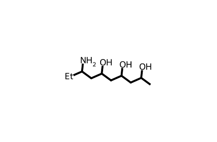 CCC(N)CC(O)CC(O)CC(C)O